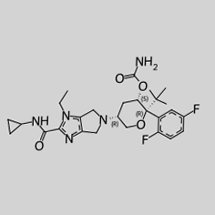 CCn1c(C(=O)NC2CC2)nc2c1CN([C@H]1CO[C@@](c3cc(F)ccc3F)(C(C)(C)C)[C@@H](OC(N)=O)C1)C2